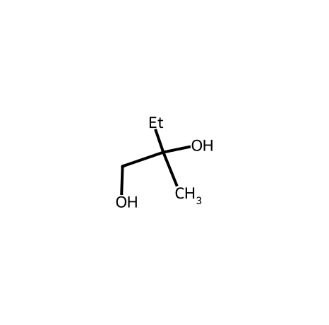 CCC(C)(O)CO